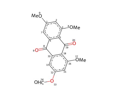 COc1cc(OC)c2c(c1)C(=O)c1cc(OC=O)cc(OC)c1C2=O